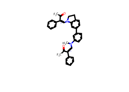 CN(/C=C(\C(=O)C(F)(F)F)c1ccccc1)c1cccc(-c2ccc3c(c2)N(/C=C(\C(=O)C(F)(F)F)c2ccccc2)CC3)c1